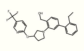 CCc1ccccc1-c1ccc(CO)c(N2CCC(Oc3ccc(C(F)(F)F)cn3)C2)c1